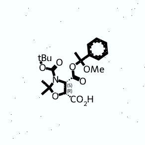 COC(C)(OC(=O)[C@@H]1[C@H](C(=O)O)OC(C)(C)N1C(=O)OC(C)(C)C)c1ccccc1